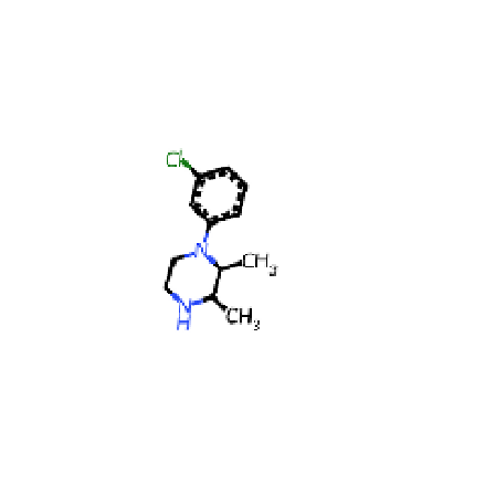 CC1NCCN(c2cccc(Cl)c2)C1C